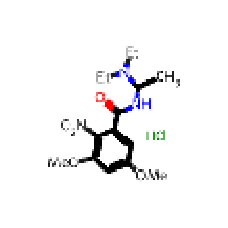 CCN(CC)C(C)NC(=O)c1cc(OC)cc(OC)c1[N+](=O)[O-].Cl